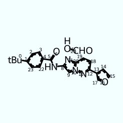 CC(C)(C)c1ccc(C(=O)Nc2cn3nc(-c4ccoc4)ccc3n2)cc1.O=CO